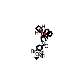 Cc1nc2ccccc2n1[C@H]1C[C@H]2CC[C@@H](C1)N2CCC1(c2ccccc2)CCN(C(=O)c2ccc(Br)c(S(=O)(=O)NC3CC3)c2)CC1